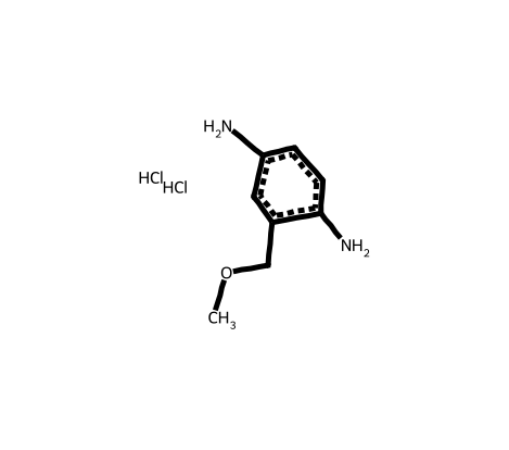 COCc1cc(N)ccc1N.Cl.Cl